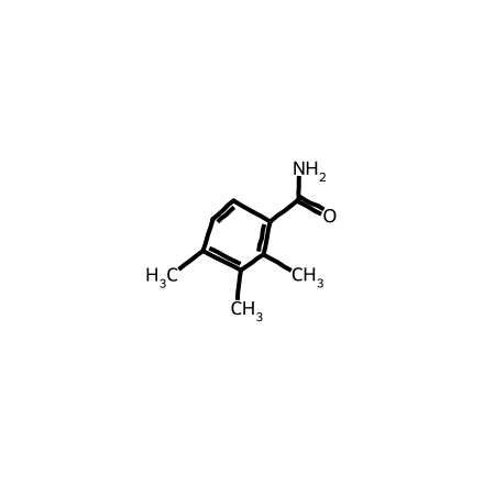 Cc1ccc(C(N)=O)c(C)c1C